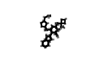 CC1(Nc2nc(NC3CCC(CO)C3)c(-c3nc4ccccc4s3)c(=O)[nH]2)CCC1